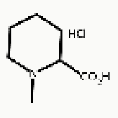 CN1CCCCC1C(=O)O.Cl